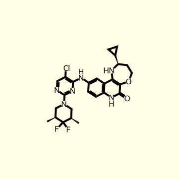 C[C@@H]1CN(c2ncc(Cl)c(Nc3ccc4[nH]c(=O)c5c(c4c3)N[C@@H](C3CC3)CCO5)n2)C[C@H](C)C1(F)F